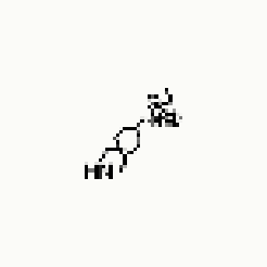 CCS(=O)(=O)NCC1CCC2(CCNCC2)CC1